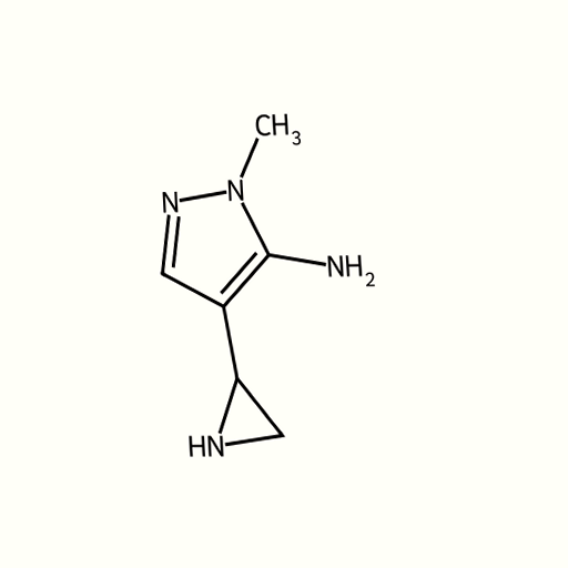 Cn1ncc(C2CN2)c1N